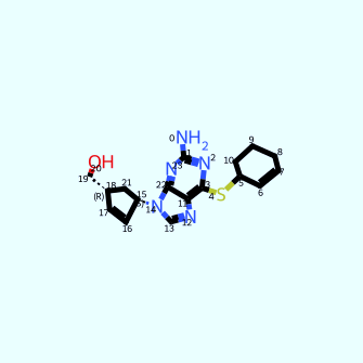 Nc1nc(SC2C=CCCC2)c2ncn([C@@H]3C=C[C@H](CO)C3)c2n1